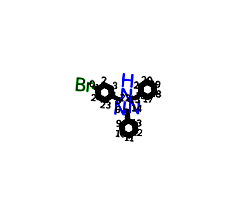 Brc1ccc(C2=NC(c3ccccc3)=NC(c3ccccc3)N2)cc1